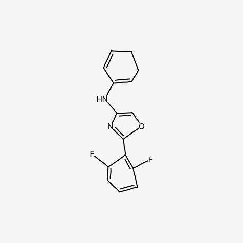 Fc1cccc(F)c1-c1nc(NC2=CCCC=C2)co1